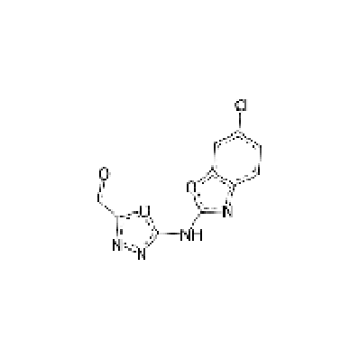 O=Cc1nnc(Nc2nc3ccc(Cl)cc3o2)o1